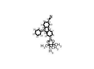 CC1(C)OB(c2ccc3c4cc(C#N)ccc4n(-c4ccccc4)c3c2)OC1(C)C